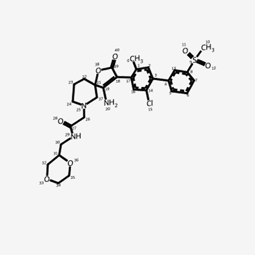 Cc1cc(-c2cccc(S(C)(=O)=O)c2)c(Cl)cc1C1=C(N)C2(CCCN(CC(=O)NCC3COCCO3)C2)OC1=O